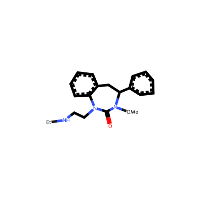 CCNCCN1C(=O)N(OC)C(c2ccccc2)Cc2ccccc21